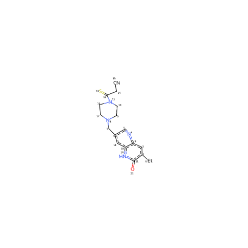 CCc1cc2ncc(CN3CCN(C(=S)CC#N)CC3)cc2[nH]c1=O